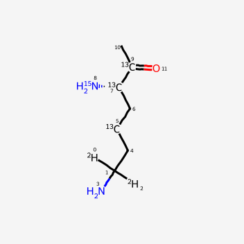 [2H]C([2H])(N)C[13CH2]C[13C@H]([15NH2])[13C](C)=O